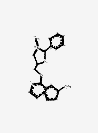 COc1ccc2ccnc(OCC3CN(C(C)C)C(c4ccccc4)O3)c2c1